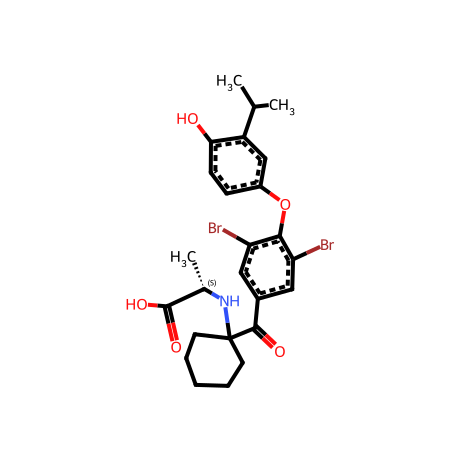 CC(C)c1cc(Oc2c(Br)cc(C(=O)C3(N[C@@H](C)C(=O)O)CCCCC3)cc2Br)ccc1O